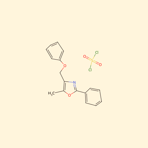 Cc1oc(-c2ccccc2)nc1COc1ccccc1.O=S(=O)(Cl)Cl